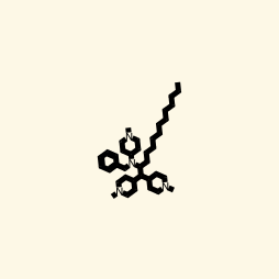 CCCCCCCCCCCCC(C(C1CCN(C)CC1)C1CCN(C)CC1)N(Cc1ccccc1)C1CCN(C)CC1